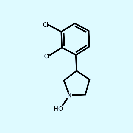 ON1CCC(c2cccc(Cl)c2Cl)C1